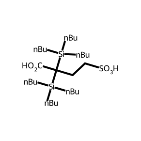 CCCC[Si](CCCC)(CCCC)C(CCS(=O)(=O)O)(C(=O)O)[Si](CCCC)(CCCC)CCCC